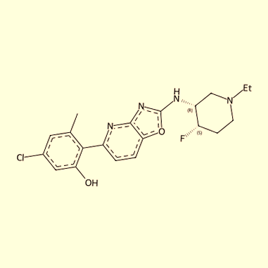 CCN1CC[C@H](F)[C@H](Nc2nc3nc(-c4c(C)cc(Cl)cc4O)ccc3o2)C1